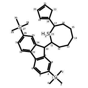 C[Si](C)(C)c1ccc2c(c1)C(C1CCCCCC(C3=CC=CC3)[SiH2]1)c1cc([Si](C)(C)C)ccc1-2